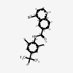 Cc1cc(C(F)(C(F)(F)F)C(F)(F)F)cc(C)c1NC(=O)c1ccc2nccc(Br)c2c1